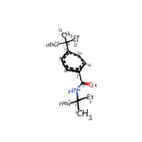 CCCCC(C)(CC)NC(=O)c1ccc(C(C)(CC)CCCC)cc1